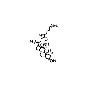 C[C@H](CCC(=O)NCCCCN)[C@H]1CCC2C3CCC4C[C@H](O)CC[C@]4(C)C3C[C@H](O)[C@@]21C